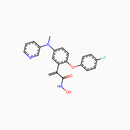 C=C(C(=O)NO)c1cc(N(C)c2cccnc2)ccc1Oc1ccc(F)cc1